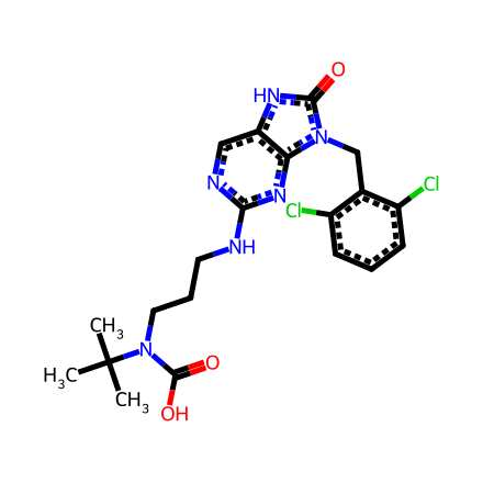 CC(C)(C)N(CCCNc1ncc2[nH]c(=O)n(Cc3c(Cl)cccc3Cl)c2n1)C(=O)O